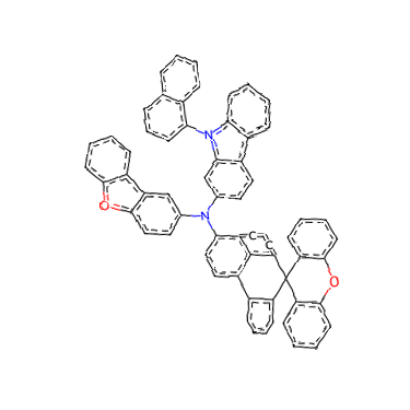 c1ccc2c(c1)Oc1ccccc1C21c2ccccc2-c2ccc(N(c3ccc4oc5ccccc5c4c3)c3ccc4c5ccccc5n(-c5cccc6ccccc56)c4c3)c3cccc1c23